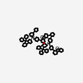 c1ccc(-c2cccc(N(c3ccc(-c4cccc5c4oc4ccc(-c6ccccc6-c6ccc(N(c7ccc(-c8cccc9c8oc8ccccc89)cc7)c7ccc8c(c7)C(c7ccccc7)(c7ccccc7)c7ccccc7-8)cc6)cc45)cc3)c3ccc4c(c3)C(c3ccccc3)(c3ccccc3)c3ccccc3-4)c2)cc1